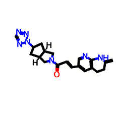 C=C1CCc2cc(/C=C/C(=O)N3C[C@H]4CC(n5ncnn5)C[C@H]4C3)cnc2N1